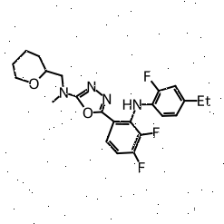 CCc1ccc(Nc2c(-c3nnc(N(C)CC4CCCCO4)o3)ccc(F)c2F)c(F)c1